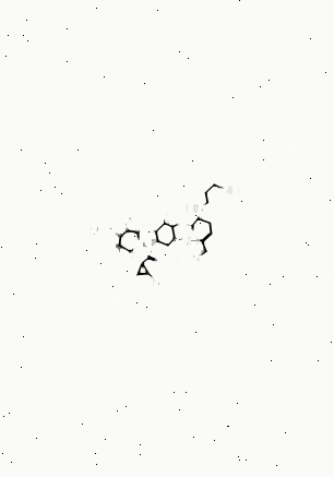 CN[C@@H]1[C@@H](O)[C@@H](O[C@H]2[C@H](NC(=O)C3(O)CC3N)C[C@H](N)C(O[C@H]3OC(CN)=CC[C@H]3NCCCN)[C@@H]2O)OC[C@]1(C)O